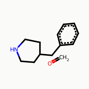 C=O.c1ccc(CC2CCNCC2)cc1